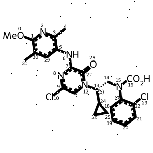 COc1nc(C)c(Nc2nc(Cl)cn([C@H](CN(C(=O)O)c3ccccc3Cl)C3CC3)c2=O)cc1C